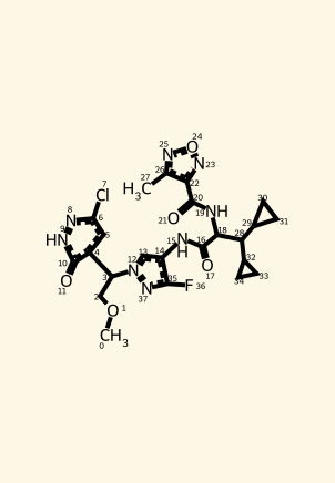 COCC(c1cc(Cl)n[nH]c1=O)n1cc(NC(=O)C(NC(=O)c2nonc2C)C(C2CC2)C2CC2)c(F)n1